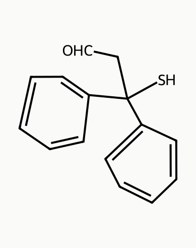 O=CCC(S)(c1ccccc1)c1ccccc1